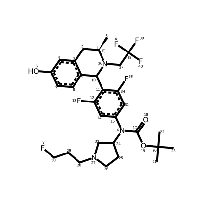 C[C@@H]1Cc2cc(O)ccc2C(c2c(F)cc(N(C(=O)OC(C)(C)C)C3CCN(CCCF)C3)cc2F)N1CC(F)(F)F